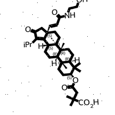 CC(C)C1=C2[C@H]3CC[C@@H]4[C@@]5(C)CC[C@H](OC(=O)CC(C)(C)C(=O)O)C(C)(C)[C@@H]5CC[C@@]4(C)[C@]3(C)CC[C@@]2(C=CC(=O)NCCO)CC1=O